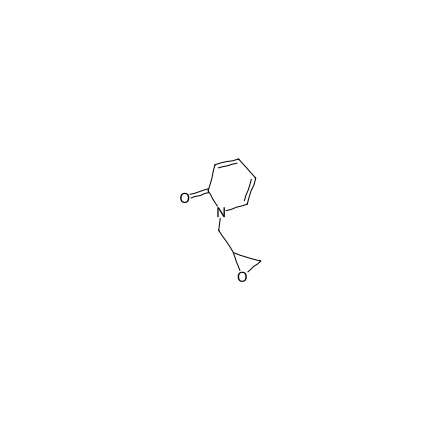 O=c1ccccn1CC1CO1